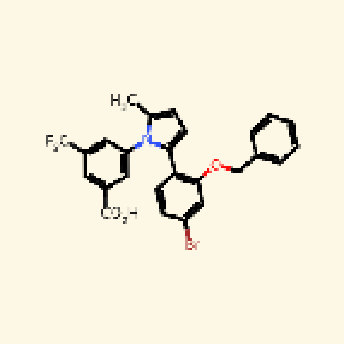 Cc1ccc(-c2ccc(Br)cc2OCc2ccccc2)n1-c1cc(C(=O)O)cc(C(F)(F)F)c1